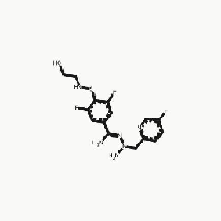 N/C(=N\N(N)Cc1ccc(F)cn1)c1cc(F)c(SNCCO)c(F)c1